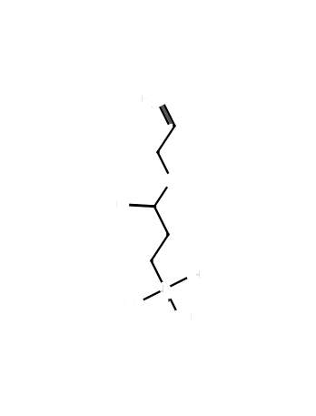 C=CCOC(O)CC[PH](O)(O)O